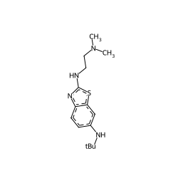 CN(C)CCNc1nc2ccc(NC(C)(C)C)cc2s1